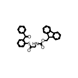 O=C(NCC(=O)Sc1ccccc1C(=O)c1ccccc1)OCC1c2ccccc2-c2ccccc21